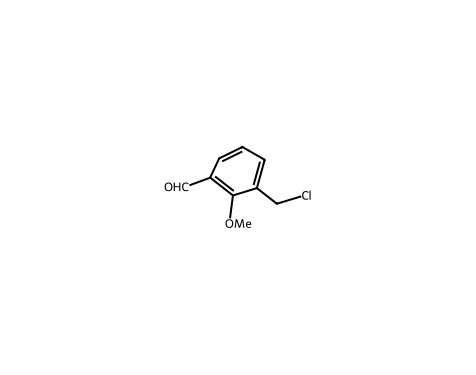 COc1c(C=O)cccc1CCl